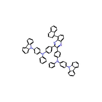 c1ccc(N(c2ccc(-c3nc4cccc(-c5cccc6ccccc56)c4nc3-c3ccc(N(c4ccccc4)c4ccc(-n5c6ccccc6c6ccccc65)cc4)cc3)cc2)c2ccc(-n3c4ccccc4c4ccccc43)cc2)cc1